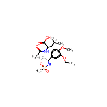 CC(=O)N[C@H](CC(C)C)C(=O)O.CCOc1cc([C@@H](C)NS(C)(=O)=O)ccc1OC